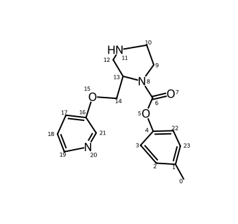 Cc1ccc(OC(=O)N2CCNCC2COc2cccnc2)cc1